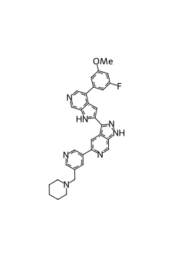 COc1cc(F)cc(-c2cncc3[nH]c(-c4n[nH]c5cnc(-c6cncc(CN7CCCCC7)c6)cc45)cc23)c1